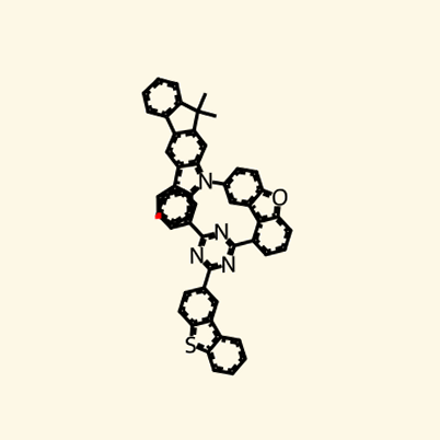 CC1(C)c2ccccc2-c2cc3c4ccccc4n(-c4ccc5oc6cccc(-c7nc(-c8ccccc8)nc(-c8ccc9sc%10ccccc%10c9c8)n7)c6c5c4)c3cc21